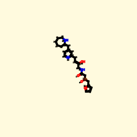 O=C(C[S+]([O-])Cc1ccco1)NCC(O)=CCc1cc(CC2CCCCCN2)ccn1